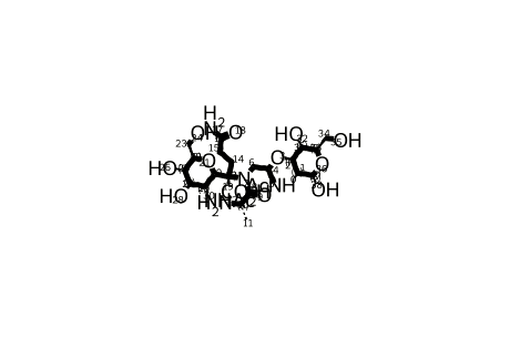 CC(=O)N[C@@H]1[C@@H](OC(C)CN(C(=O)[C@H](C)N)[C@](CCC(N)=O)(C(=O)O)C2O[C@H](CO)[C@@H](O)[C@H](O)[C@H]2NC(C)=O)[C@H](O)[C@@H](CO)O[C@@H]1O